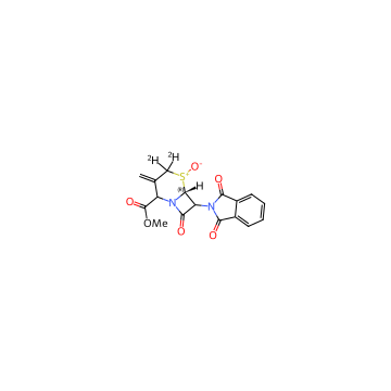 [2H]C1([2H])C(=C)C(C(=O)OC)N2C(=O)C(N3C(=O)c4ccccc4C3=O)[C@H]2[S+]1[O-]